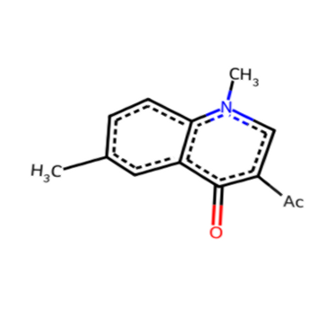 CC(=O)c1cn(C)c2ccc(C)cc2c1=O